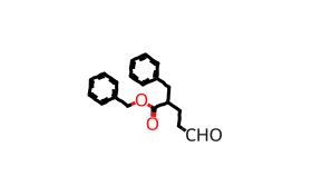 O=CCCC(Cc1ccccc1)C(=O)OCc1ccccc1